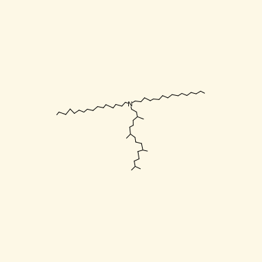 CCCCCCCCCCCCCCCCN(CCCCCCCCCCCCCCCC)CCC(C)CCCC(C)CCCC(C)CCCC(C)C